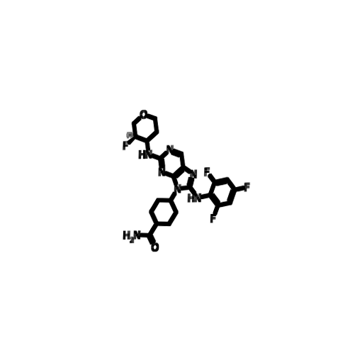 NC(=O)C1CCC(n2c(Nc3c(F)cc(F)cc3F)nc3cnc(NC4CCOC[C@@H]4F)nc32)CC1